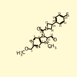 COCc1ncc2c(n1)N(C)C(C=O)N2C(=O)N1CC(c2ccc(F)cc2)C1